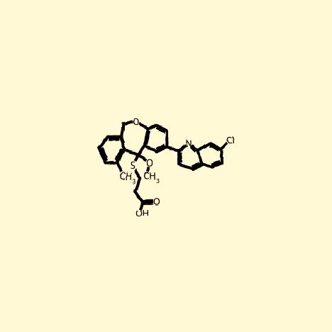 COC1(SCCC(=O)O)c2cc(-c3ccc4ccc(Cl)cc4n3)ccc2OCc2cccc(C)c21